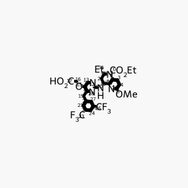 CCOC(=O)N1c2ccc(OC)nc2[C@@H](Nc2ncc(OCC(=O)O)c(Cc3cc(C(F)(F)F)cc(C(F)(F)F)c3)n2)C[C@H]1CC